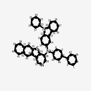 c1ccc(-c2ccc(N(c3ccc4c(c3)c3ccccc3n4-c3ccccc3)c3cncc4c3sc3cc5ccccc5cc34)cc2)cc1